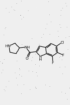 O=C(NC1CCNC1)c1cc2cc(Cl)c(F)c(F)c2[nH]1